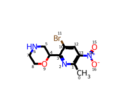 Cc1nc(C2CNCCO2)c(Br)cc1[N+](=O)[O-]